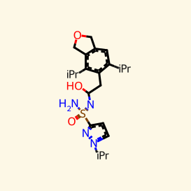 CC(C)c1cc2c(c(C(C)C)c1CC(O)N=S(N)(=O)c1ccn(C(C)C)n1)COC2